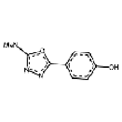 CNc1nnc(-c2ccc(O)cc2)o1